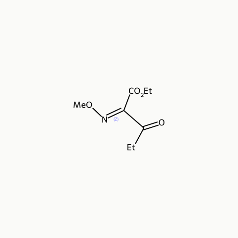 CCOC(=O)/C(=N\OC)C(=O)CC